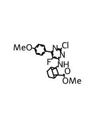 COC(=O)C1C2CCC(CC2)C1Nc1nc(Cl)nc(-c2ccc(OC)cc2)c1F